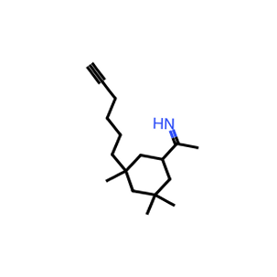 C#CCCCCC1(C)CC(C(C)=N)CC(C)(C)C1